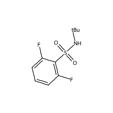 CC(C)(C)NS(=O)(=O)c1c(F)cccc1F